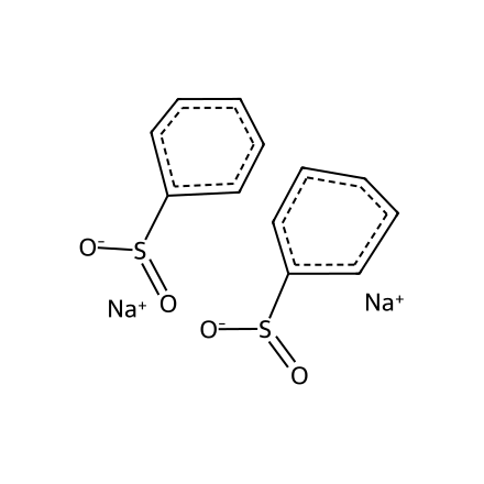 O=S([O-])c1ccccc1.O=S([O-])c1ccccc1.[Na+].[Na+]